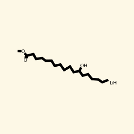 CCCCCCC(O)CCCCCCCCCCC(=O)OC.[LiH]